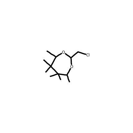 CC1OC(CCl)OC(C)C(C)(C)C1(C)C